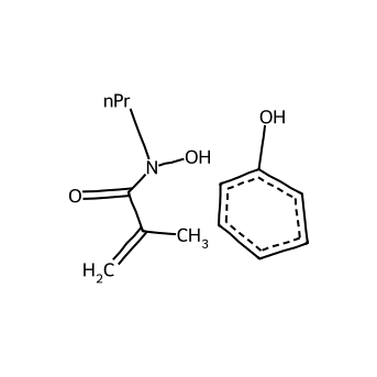 C=C(C)C(=O)N(O)CCC.Oc1ccccc1